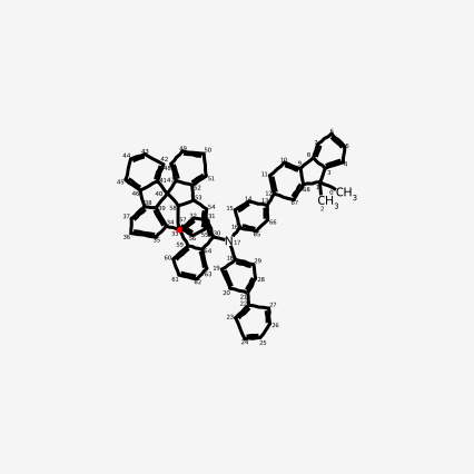 CC1(C)c2ccccc2-c2ccc(-c3ccc(N(c4ccc(-c5ccccc5)cc4)c4ccc(-c5cccc6c5C5(c7ccccc7-6)c6ccccc6C6C=CC=CC65)c5ccccc45)cc3)cc21